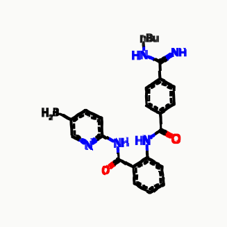 Bc1ccc(NC(=O)c2ccccc2NC(=O)c2ccc(C(=N)NCCCC)cc2)nc1